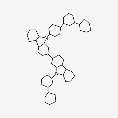 C1CCC(C2CCCC(C3CCC(N4C5CCCCC5C5CCC(C6CCC7C8CCCCC8N(C8CCCC(C9CCCCC9)C8)C7C6)CC54)CC3)C2)CC1